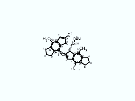 CCCC[SiH]=[Hf]([CH]1C(C)=Cc2c(C)c3c(c(C)c21)CCC3)[CH]1C(C)=Cc2c(C)c3c(c(C)c21)CCC3